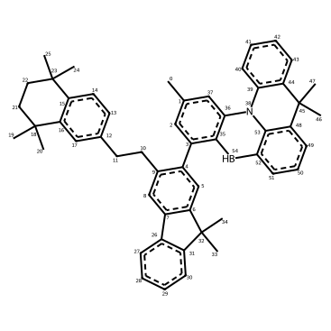 Cc1cc(-c2cc3c(cc2CCc2ccc4c(c2)C(C)(C)CCC4(C)C)-c2ccccc2C3(C)C)c2c(c1)N1c3ccccc3C(C)(C)c3cccc(c31)B2